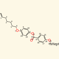 C=CCCCCCOc1ccc(OC(=O)c2ccc(OCCCCCCC)cc2)cc1